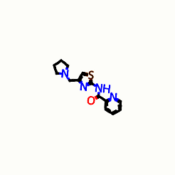 O=C(Nc1nc(CN2CCCC2)cs1)c1ccccn1